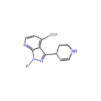 CC(C)n1nc(C2C=CNCC2)c2c(C(=O)O)ccnc21